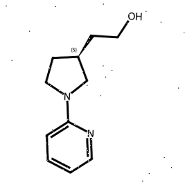 OCC[C@@H]1CCN(c2ccccn2)C1